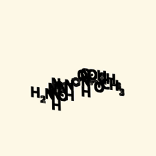 CC(C)C(=O)CC[C@@H](NC(=O)c1ccc(NCc2cnc3nc(N)[nH]c(=O)c3n2)cc1)C(=O)O